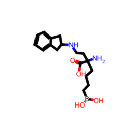 NC(CCCCB(O)O)(CCNC1Cc2ccccc2C1)C(=O)O